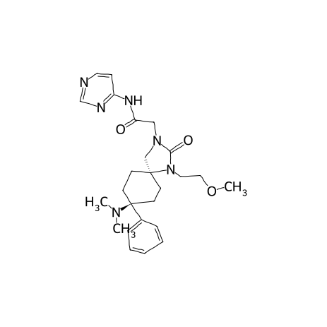 COCCN1C(=O)N(CC(=O)Nc2ccncn2)C[C@]12CC[C@](c1ccccc1)(N(C)C)CC2